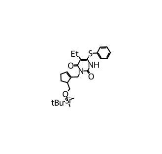 CCc1c(Sc2ccccc2)[nH]c(=O)n(CC2=CCCC2CO[Si](C)(C)C(C)(C)C)c1=O